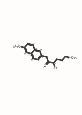 CCCCCCCCCCCCCC(CC)C(=O)Cc1ccc2cc(OC)ccc2c1